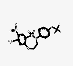 Nc1cc2c(cc1[N+](=O)[O-])S(=O)(=O)N(c1ccc(OC(F)(F)F)cc1)CCO2